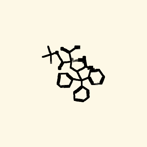 CC(C)(C)OC(=O)[C@](N)(CC(C(N)=O)C(c1ccccc1)(c1ccccc1)c1ccccc1)C(=O)O